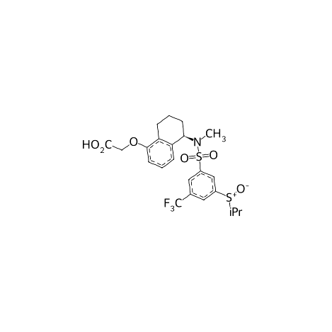 CC(C)[S+]([O-])c1cc(C(F)(F)F)cc(S(=O)(=O)N(C)[C@@H]2CCCc3c(OCC(=O)O)cccc32)c1